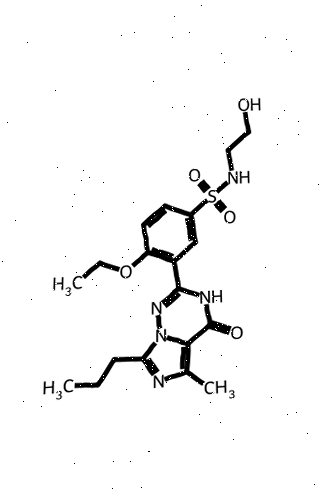 CCCc1nc(C)c2c(=O)[nH]c(-c3cc(S(=O)(=O)NCCO)ccc3OCC)nn12